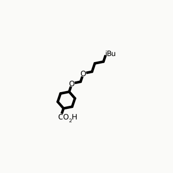 CCC(C)CCCOCOC1CCC(C(=O)O)CC1